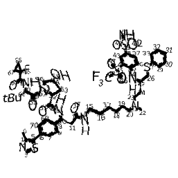 Cc1ncsc1-c1ccc([C@H](CC(=O)NCCCCCCN(C)CC[C@H](CSc2ccccc2)Nc2ccc(S(N)(=O)=O)cc2S(=O)(=O)C(F)(F)F)NC(=O)[C@@H]2C[C@@H](O)CN2C(=O)[C@@H](NC(=O)C2(F)CC2)C(C)(C)C)cc1